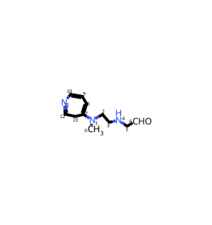 CN(CCNCC=O)C1=CC=CN=CC1